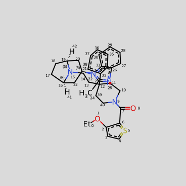 CCOc1ccsc1C(=O)N1CCC(CCN2[C@@H]3CC[C@H]2C[C@@H](n2c(C)nc4ccccc42)C3)(c2ccccc2)CC1